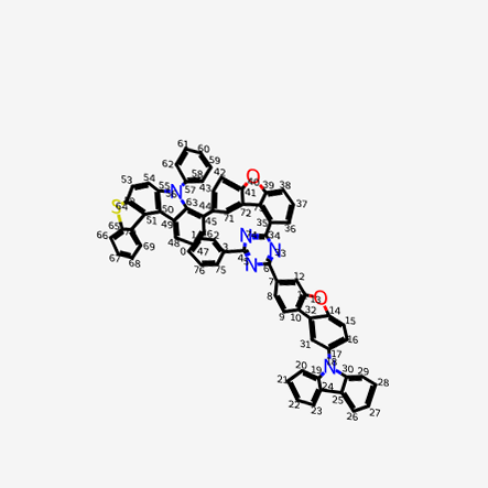 c1ccc(-c2nc(-c3ccc4c(c3)oc3ccc(-n5c6ccccc6c6ccccc65)cc34)nc(-c3cccc4oc5ccc(-c6cccc7c8c9c(ccc8n(-c8ccccc8)c67)sc6ccccc69)cc5c34)n2)cc1